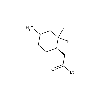 CCC(=O)C[C@H]1CCN(C)CC1(F)F